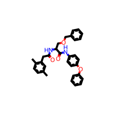 Cc1ccc(C)c(CC(=O)NC(COCc2ccccc2)C(=O)Nc2ccc(Oc3ccccc3)cc2)c1